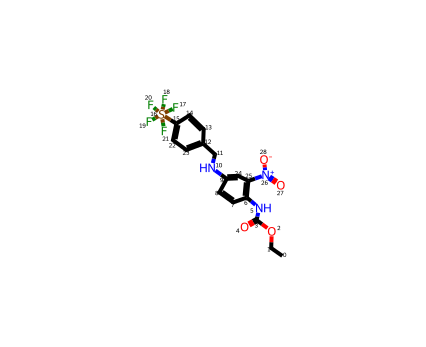 CCOC(=O)Nc1ccc(NCc2ccc(S(F)(F)(F)(F)F)cc2)cc1[N+](=O)[O-]